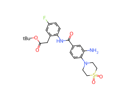 CC(C)(C)OC(=O)Cc1cc(F)ccc1NC(=O)c1ccc(N2CCS(=O)(=O)CC2)c(N)c1